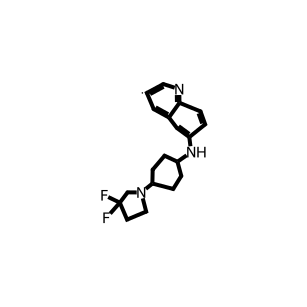 FC1(F)CCN(C2CCC(Nc3ccc4nc[c]cc4c3)CC2)C1